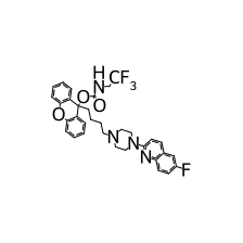 O=C(NCC(F)(F)F)OC1(CCCCN2CCN(c3ccc4cc(F)ccc4n3)CC2)c2ccccc2Oc2ccccc21